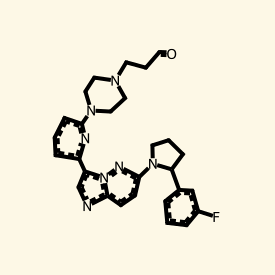 O=CCCN1CCN(c2cccc(-c3cnc4ccc(N5CCCC5c5cccc(F)c5)nn34)n2)CC1